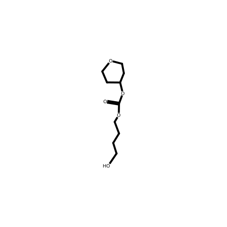 O=C(OCCCCO)OC1CCOCC1